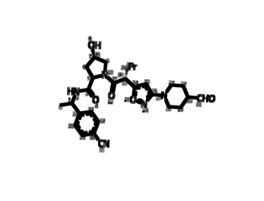 CC(NC(=O)C1C[C@@H](O)CN1C(=O)[C@@H](c1cc(N2CCC(C=O)CC2)no1)C(C)C)c1ccc(C#N)cc1